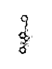 O=S(=O)(c1ccccc1)c1n[nH]c2c(OCCN3CCCCC3)cccc12